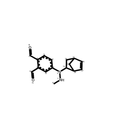 CNN(c1ccc(C=O)c(C=O)c1)C1CC2C=CC1C2